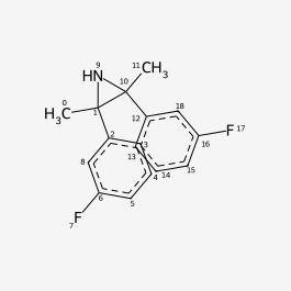 CC1(c2cccc(F)c2)NC1(C)c1cccc(F)c1